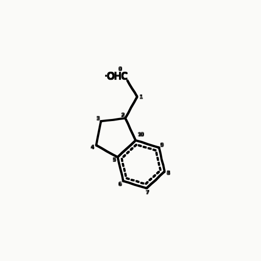 O=[C]CC1CCc2ccccc21